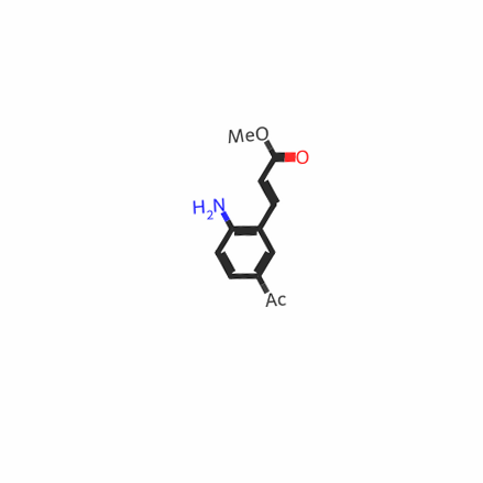 COC(=O)/C=C/c1cc(C(C)=O)ccc1N